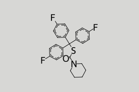 O=C(SC(c1ccc(F)cc1)(c1ccc(F)cc1)c1ccc(F)cc1)N1CCCCC1